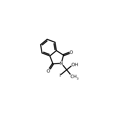 CC(O)(I)N1C(=O)c2ccccc2C1=O